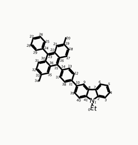 CCn1c2ccccc2c2cc(-c3ccc(-c4c5ccc(C)cc5c(-c5ccccc5)c5ccc(C)cc45)cc3)ccc21